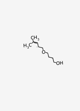 CC(C)=C[CH]COCCCCO